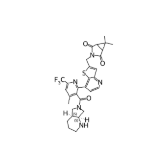 Cc1cc(C(F)(F)F)nc(-c2ccnc3cc(CN4C(=O)C5C(C4=O)C5(C)C)sc23)c1C(=O)N1C[C@@H]2CCCN[C@@H]2C1